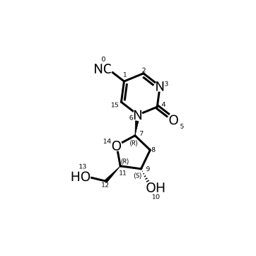 N#Cc1cnc(=O)n([C@H]2C[C@H](O)[C@@H](CO)O2)c1